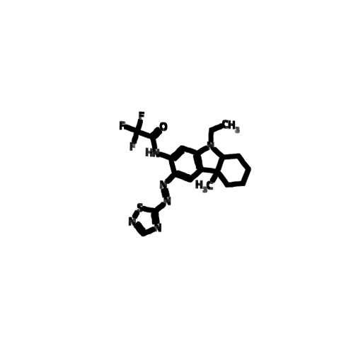 CCN1c2cc(NC(=O)C(F)(F)F)c(N=Nc3ncns3)cc2C2(C)CCCCC12